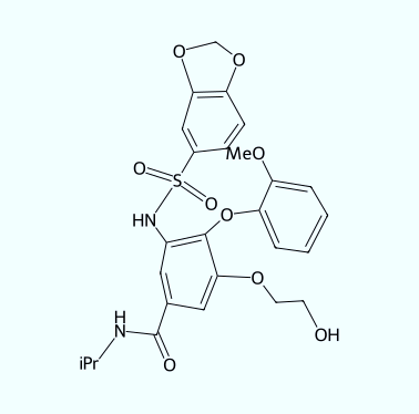 COc1ccccc1Oc1c(NS(=O)(=O)c2ccc3c(c2)OCO3)cc(C(=O)NC(C)C)cc1OCCO